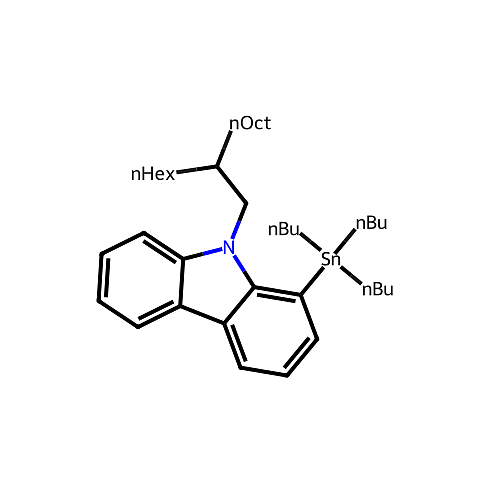 CCCCCCCCC(CCCCCC)Cn1c2ccccc2c2ccc[c]([Sn]([CH2]CCC)([CH2]CCC)[CH2]CCC)c21